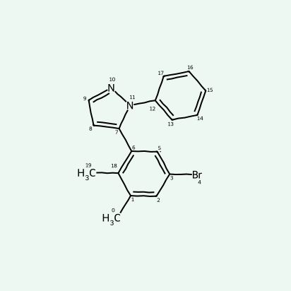 Cc1cc(Br)[c]c(-c2ccnn2-c2ccccc2)c1C